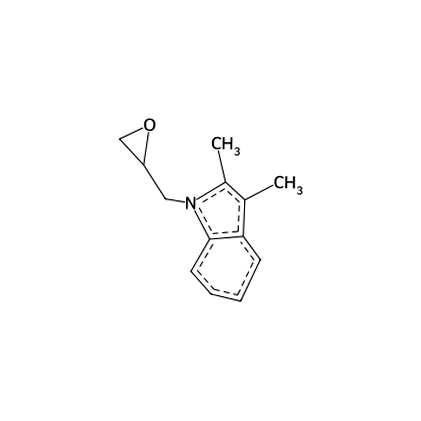 Cc1c(C)n(CC2CO2)c2ccccc12